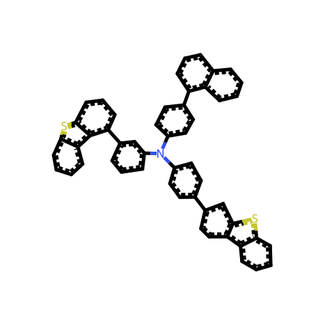 c1cc(-c2cccc3sc4ccccc4c23)cc(N(c2ccc(-c3ccc4c(c3)sc3ccccc34)cc2)c2ccc(-c3cccc4ccccc34)cc2)c1